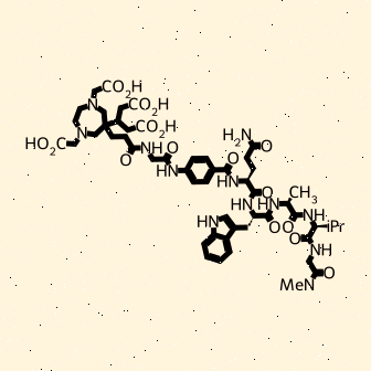 CNC(=O)CNC(=O)[C@@H](NC(=O)[C@H](C)NC(=O)[C@H](Cc1c[nH]c2ccccc12)NC(=O)[C@H](CCC(N)=O)NC(=O)c1ccc(NC(=O)CNC(=O)CCC2(C(CC(=O)O)CC(=O)O)CN(CC(=O)O)CCN(CC(=O)O)C2)cc1)C(C)C